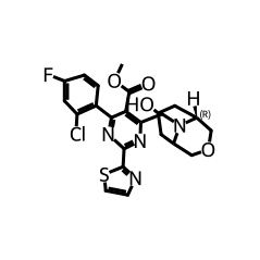 COC(=O)c1c(CN2C3COC[C@H]2CC(O)C3)nc(-c2nccs2)nc1-c1ccc(F)cc1Cl